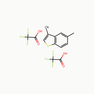 Cc1ccc2scc(C#N)c2c1.O=C(O)C(F)(F)F.O=C(O)C(F)(F)F